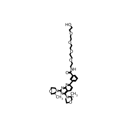 C[C@@H]1COCCN1c1nc(N2CCOC[C@H]2C)c2ccc(-c3cccc(C(=O)NCCOCCOCCOCCOCCO)c3)nc2n1